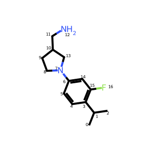 CC(C)c1ccc(N2CCC(CN)C2)cc1F